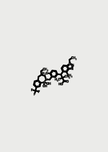 CCC1Cc2ccc(C(F)(F)F)cc2S(O)(O)N(Cc2cc(C(c3ccc4c(nnn4CC)c3C)C(C)(C)C(=O)O)ccc2C)C1